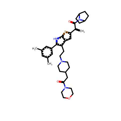 C=C(C(=O)N1C2CCC1CC2)c1cc2c(CCN3CCC(CC(=O)N4CCOCC4)CC3)c(-c3cc(C)cc(C)c3)[nH]c2s1